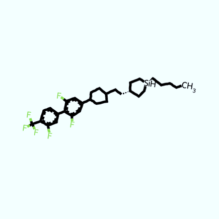 CCCCC[Si@H]1CC[C@H](CCC2CCC(c3cc(F)c(-c4ccc(C(F)(F)F)c(F)c4)c(F)c3)CC2)CC1